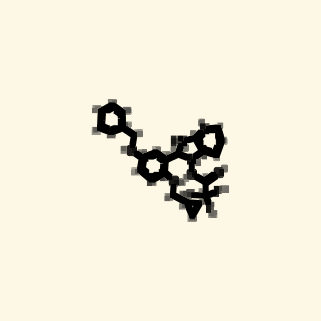 O=C(ON1c2cccnc2NC1c1cc(OCc2ccccc2)ccc1OCC1CC1)C(F)(F)F